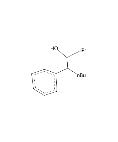 CCCCC(c1ccccc1)C(O)C(C)C